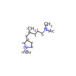 CCCCN1CCC(CC(C)CCCN(C)C(C)=O)C1